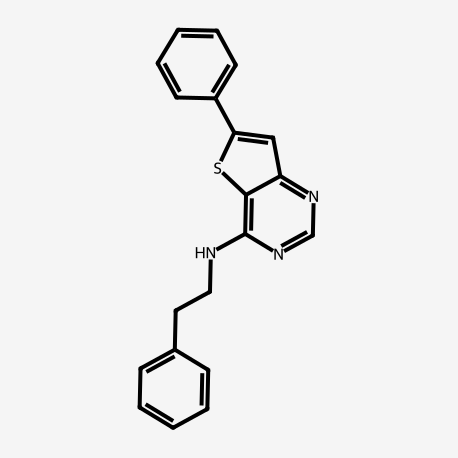 c1ccc(CCNc2ncnc3cc(-c4ccccc4)sc23)cc1